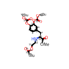 COC(=O)[C@H](Cc1ccc(OC(=O)OC(C)(C)C)c(OC(=O)OC(C)(C)C)c1)NCCOC(=O)C(C)(C)C